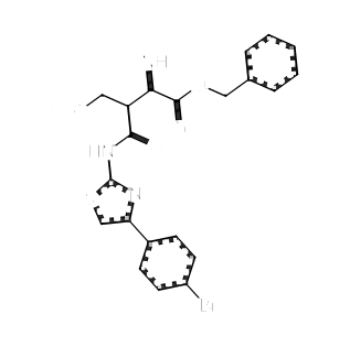 CCC(C(=N)C(=O)OCc1ccccc1)C(=O)Nc1nc(-c2ccc(Br)cc2)cs1